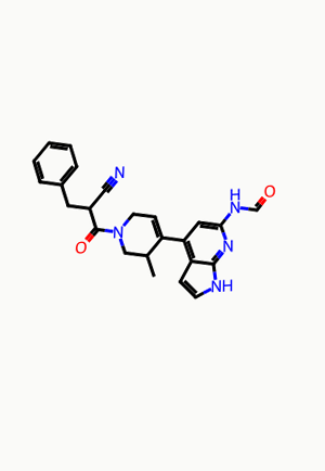 CC1CN(C(=O)C(C#N)Cc2ccccc2)CC=C1c1cc(NC=O)nc2[nH]ccc12